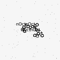 CCCCCCCCC1(CCCCCCCC)c2cc(N(c3ccc4c(c3)C(C)(C)c3c5c(c6oc7ccccc7c6c3-4)-c3ccccc3C5(C)C)c3ccccc3C)ccc2-c2cc3c(cc21)-c1c(ccc2oc4ccccc4c12)C3(CCCCCCCC)CCCCCCCC